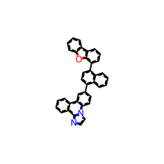 c1ccc2c(c1)oc1c(-c3ccc(-c4ccc5c(c4)c4ccccc4c4nccn54)c4ccccc34)cccc12